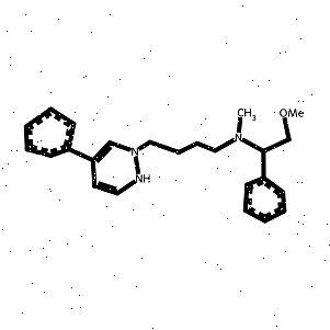 COCC(c1ccccc1)N(C)CCCCN1C=C(c2ccccc2)C=CN1